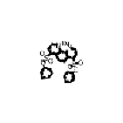 O=S(=O)(Oc1ccccc1)c1ccnc2c1ccc1c(S(=O)(=O)Oc3ccccc3)ccnc12.[Ru]